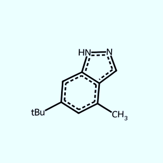 Cc1cc(C(C)(C)C)cc2[nH]ncc12